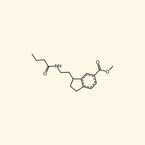 CCCC(=O)NCCC1CCc2ccc(C(=O)OC)cc21